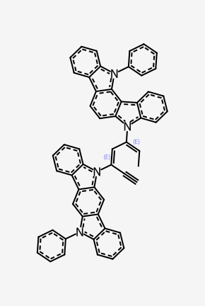 C#C/C(=C\C(=C/C)n1c2ccccc2c2c1ccc1c3ccccc3n(-c3ccccc3)c12)n1c2ccccc2c2cc3c(cc21)c1ccccc1n3-c1ccccc1